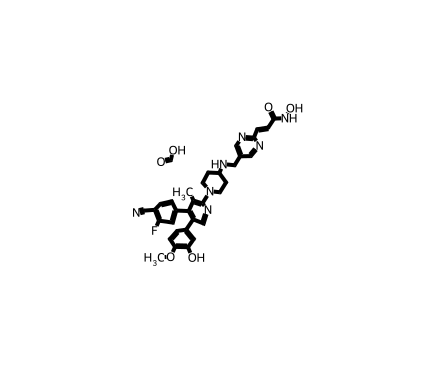 COc1ccc(-c2cnc(N3CCC(NCc4cnc(/C=C/C(=O)NO)nc4)CC3)c(C)c2-c2ccc(C#N)c(F)c2)cc1O.O=CO